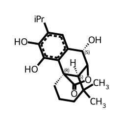 CC(C)c1cc2c(c(O)c1O)[C@@]13CCCC(C)(C)[C@@H]1C(OC3=O)[C@H]2O